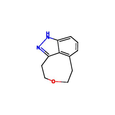 c1cc2c3c(n[nH]c3c1)CCOCC2